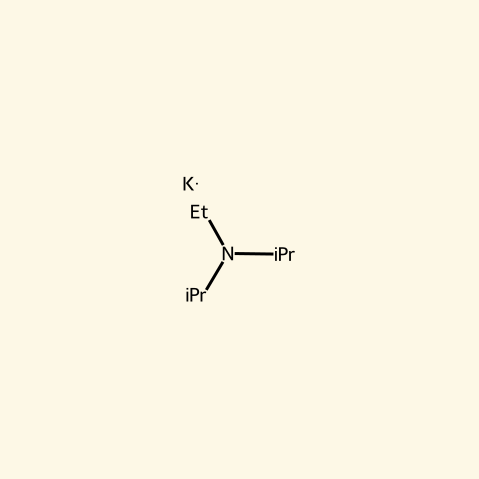 CCN(C(C)C)C(C)C.[K]